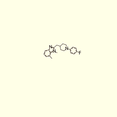 Cc1cccc2nc(CC3CCN(c4ccc(F)cc4)CC3)n(C)c12